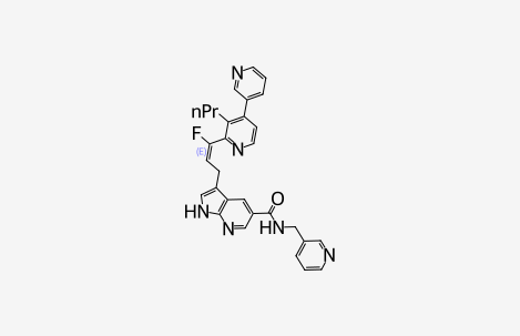 CCCc1c(-c2cccnc2)ccnc1/C(F)=C\Cc1c[nH]c2ncc(C(=O)NCc3cccnc3)cc12